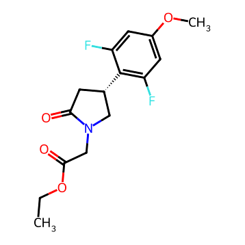 CCOC(=O)CN1C[C@@H](c2c(F)cc(OC)cc2F)CC1=O